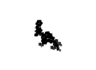 Cc1ccc(C2c3c(nc4n3CCN(C(=O)OC(C)(C)C)C4)CCN2C(=O)COc2ccc(CN3CCOCC3)cc2Cl)c(F)c1